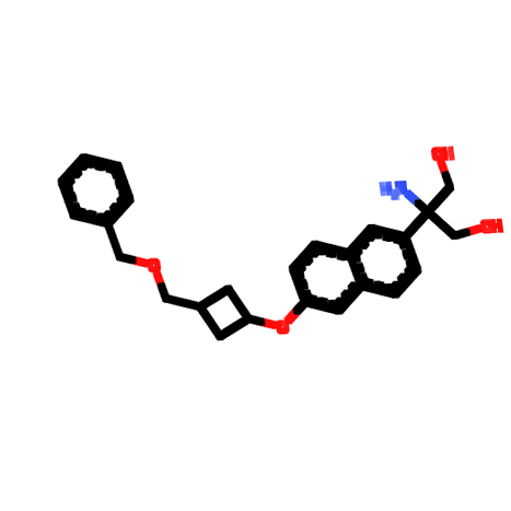 NC(CO)(CO)c1ccc2cc(OC3CC(COCc4ccccc4)C3)ccc2c1